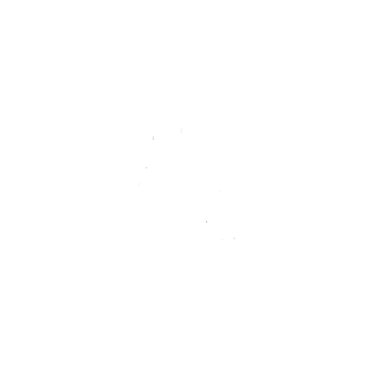 CC=O.[O]CCc1ccccc1